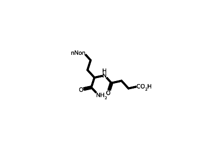 CCCCCCCCCCCC(NC(=O)CCC(=O)O)C(N)=O